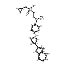 O=S(=O)(CCC(c1ccc(-n2cc(-c3nc4cccnc4[nH]3)cn2)nc1)C(F)(F)F)CC1CC1